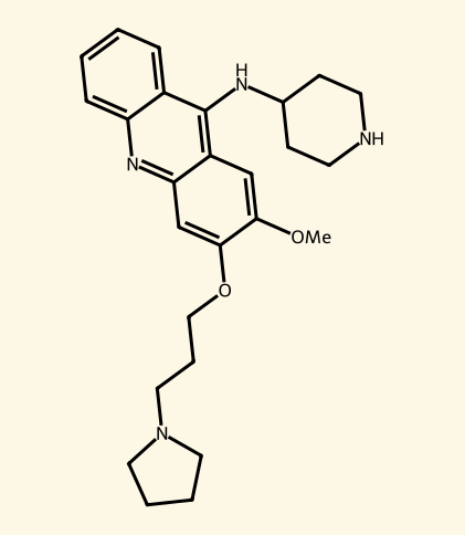 COc1cc2c(NC3CCNCC3)c3ccccc3nc2cc1OCCCN1CCCC1